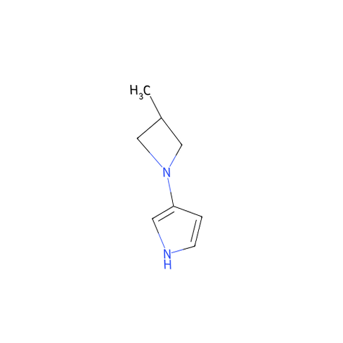 CC1CN(c2cc[nH]c2)C1